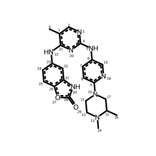 Cc1cnc(Nc2ccc(N3CCN(C)C(C)C3)nc2)nc1Nc1ccc2oc(=O)[nH]c2c1